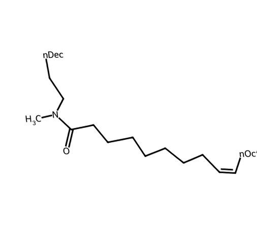 CCCCCCCC/C=C\CCCCCCCC(=O)N(C)CCCCCCCCCCCC